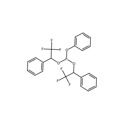 FC(F)(F)C(OP(Oc1ccccc1)OC(c1ccccc1)C(F)(F)F)c1ccccc1